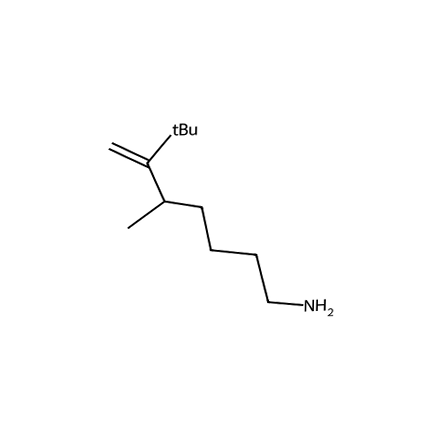 C=C(C(C)CCCCN)C(C)(C)C